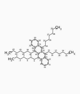 CCCCCCCc1c2ccccc2c(CCCCCCC)c2c(CCCCCCC)c3ccccc3c(CCCCCCC)c12